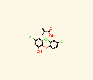 C=C(C)C(=O)O.Oc1cc(Cl)ccc1Oc1ccc(Cl)cc1Cl